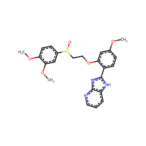 COc1ccc(-c2nc3ncccc3[nH]2)c(OCC[S+]([O-])c2ccc(OC)c(OC)c2)c1